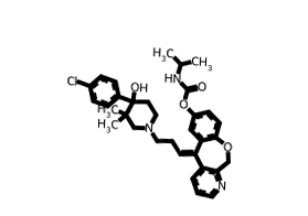 CC(C)NC(=O)Oc1ccc2c(c1)C(=CCCN1CCC(O)(c3ccc(Cl)cc3)C(C)(C)C1)c1cccnc1CO2